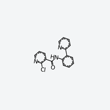 O=C(Nc1ccccc1-c1ccccn1)c1cccnc1Cl